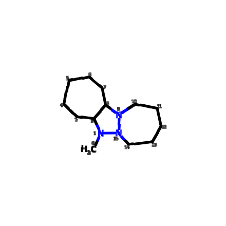 CN1C2CCCCCC2N2CCCCCN12